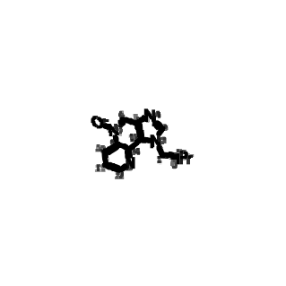 CC(C)Cn1cnc2c[n+]([O-])c3cccnc3c21